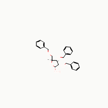 C[C@]1(COCc2ccccc2)O[C@H](O)[C@@H](OCc2ccccc2)[C@H]1OCc1ccccc1